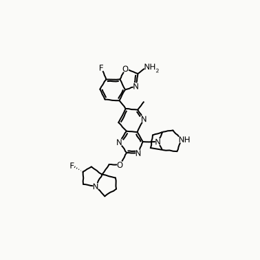 Cc1nc2c(N3C4CCC3CNC4)nc(OCC34CCCN3C[C@H](F)C4)nc2cc1-c1ccc(F)c2oc(N)nc12